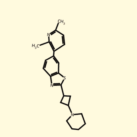 Cc1ccc(-c2ccc3nc(C4CC(N5CCCCC5)C4)sc3c2)c(C)n1